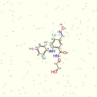 CO/N=C/c1cc(C(=O)NOCCO)c(Nc2ccc(I)cc2F)c(F)c1F